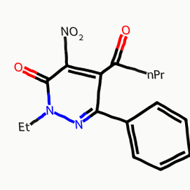 CCCC(=O)c1c(-c2ccccc2)nn(CC)c(=O)c1[N+](=O)[O-]